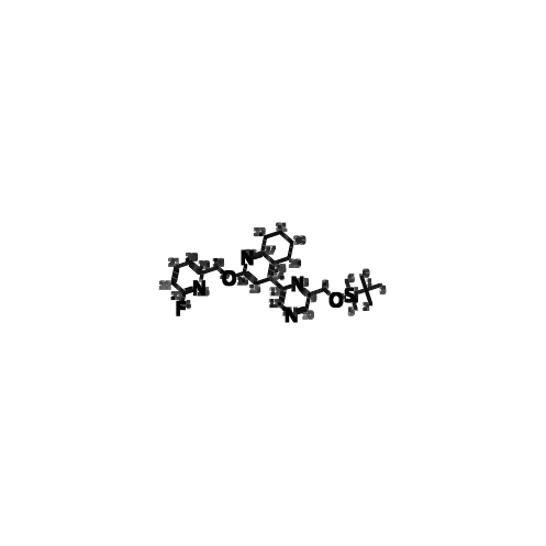 CC(C)(C)[Si](C)(C)OCc1cncc(-c2cc(OCc3cccc(F)n3)nc3c2CCCC3)n1